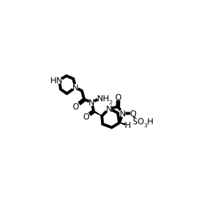 NN(C(=O)CN1CCNCC1)C(=O)[C@@H]1CC[C@@H]2CN1C(=O)N2OS(=O)(=O)O